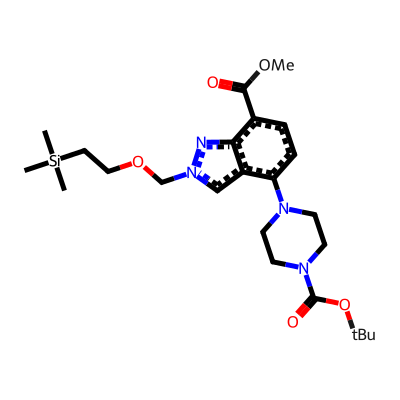 COC(=O)c1ccc(N2CCN(C(=O)OC(C)(C)C)CC2)c2cn(COCC[Si](C)(C)C)nc12